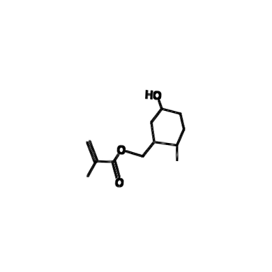 C=C(C)C(=O)OCC1CC(O)CCC1C